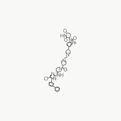 Cn1c(=O)n(C2CCC(=O)NC2=O)c2ccc(C3CCN(CCN4CCC(C(=O)N5CCC[C@H](Nc6ncc(Cl)c(-c7cccc(-c8ccccc8)c7)n6)C5)CC4)CC3)cc21